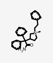 C[N+]1(CCc2ccccc2)CCC(C(C(N)=O)(c2ccccc2)c2ccccc2)C1